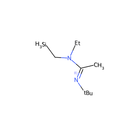 CCN(C[SiH3])/C(C)=N/C(C)(C)C